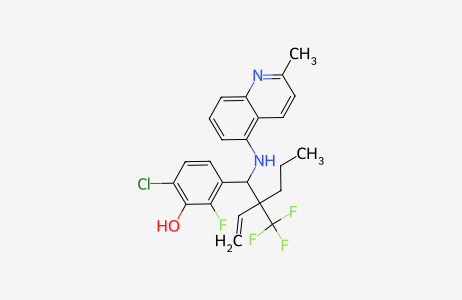 C=CC(CCC)(C(Nc1cccc2nc(C)ccc12)c1ccc(Cl)c(O)c1F)C(F)(F)F